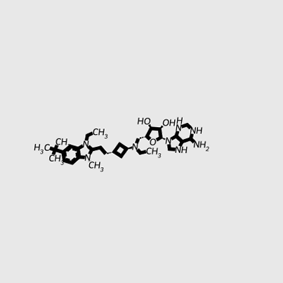 CCN1c2cc(C(C)(C)C)ccc2N(C)C1CC[C@H]1C[C@H](N(CC)C[C@H]2O[C@@H](N3CNC4C(N)NCNC43)[C@H](O)[C@@H]2O)C1